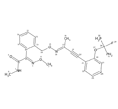 CNC(=O)/C(=N/OC)c1ccccc1CO/N=C(\C)C#Cc1ccccc1OC(F)(P)P